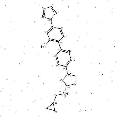 Oc1cc(-n2nccn2)ccc1-c1ccc(N2CC[C@H](NCC3CC3)C2)nn1